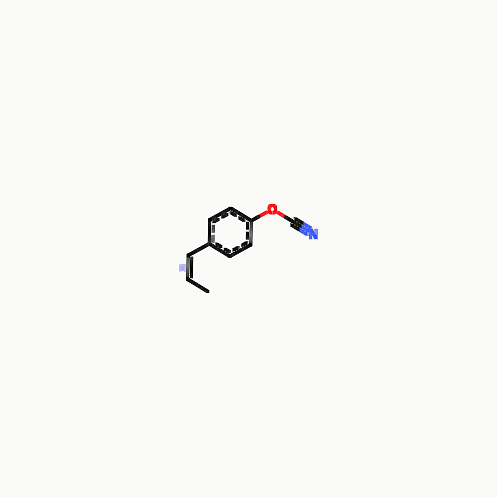 C/C=C\c1ccc(OC#N)cc1